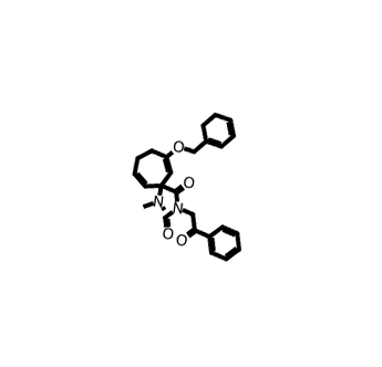 CN(C)C1(C(=O)N(C=O)CC(=O)c2ccccc2)C=CCCC(OCC2=CC=CCC2)=C1